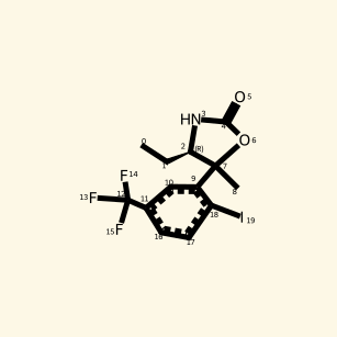 CC[C@H]1NC(=O)OC1(C)c1cc(C(F)(F)F)ccc1I